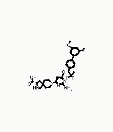 COc1cc(F)cc(-c2ccc([C@@H](Oc3cc(N4CCC5(CC4)CN[C@H](C(=O)O)C5)nc(N)n3)C(F)(F)F)cc2)c1